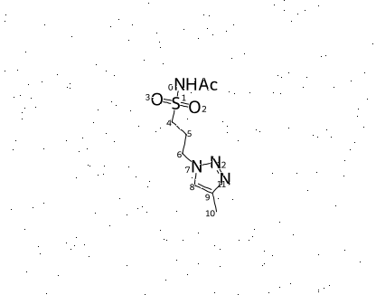 CC(=O)NS(=O)(=O)CCCn1cc(C)nn1